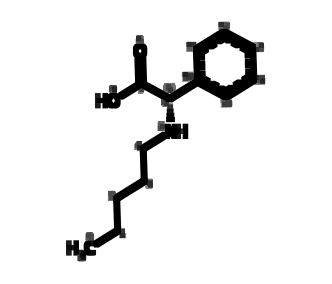 CCCCCN[C@H](C(=O)O)c1ccccc1